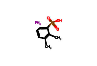 Cc1cccc(S(=O)(=O)O)c1C.P